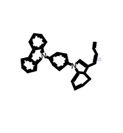 C=C/C=C\C1=CN(c2ccc(-n3c4ccccc4c4ccccc43)cc2)C2=CC=CCC12